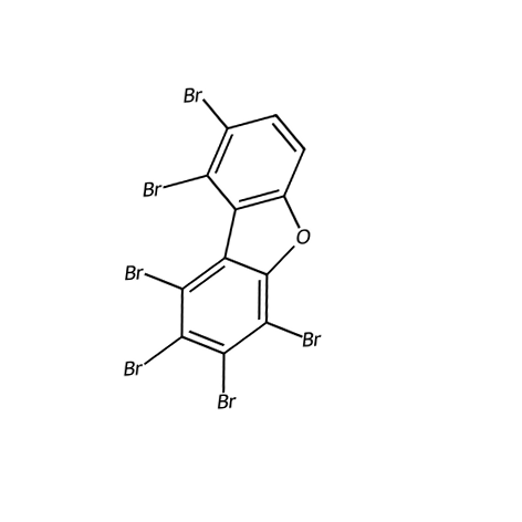 Brc1ccc2oc3c(Br)c(Br)c(Br)c(Br)c3c2c1Br